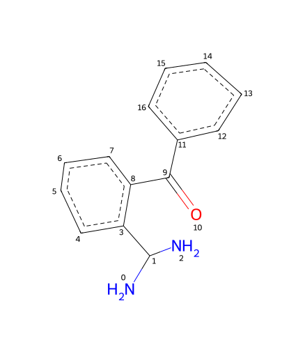 NC(N)c1ccccc1C(=O)c1ccccc1